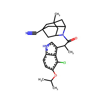 CC(C)Oc1ccc2[nH]cc(C(C)C(=O)N3C4CC5(C)CC3CC(C#N)(C4)C5)c2c1Cl